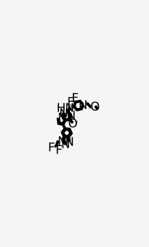 COCCN1CC[C@@H](Nc2nc(OC)c3c(-c4ccc5nnn(CC(F)F)c5c4)ccn3n2)C(F)(F)C1